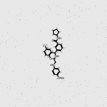 COc1ccc(NCCNC(c2cccc(C(=O)NC3CCCC3)c2)c2cc(Cl)ccc2O)cc1